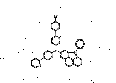 Brc1ccc(-c2ccc(N(c3ccc(-c4ccccn4)cc3)c3cc4ccc5cccc6c5c4c(c3)n6-c3ccccc3)cc2)cc1